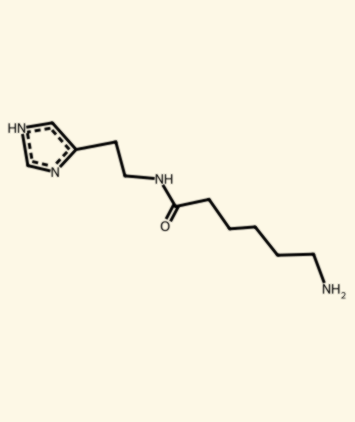 NCCCCCC(=O)NCCc1c[nH]cn1